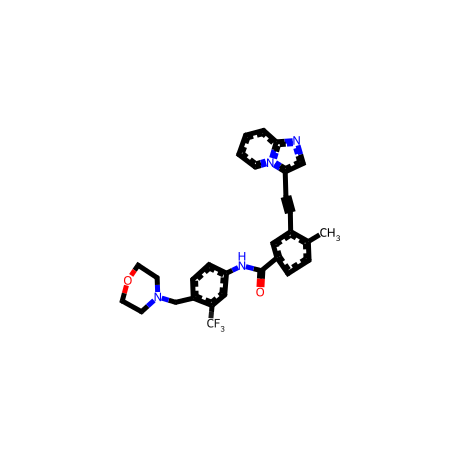 Cc1ccc(C(=O)Nc2ccc(CN3CCOCC3)c(C(F)(F)F)c2)cc1C#Cc1cnc2ccccn12